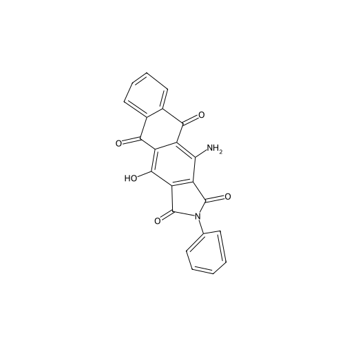 Nc1c2c(=O)c3ccccc3c(=O)c2c(O)c2c(=O)n(-c3ccccc3)c(=O)c12